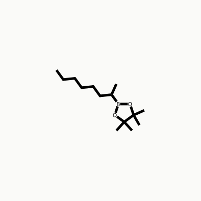 CCCCCCC(C)B1OC(C)(C)C(C)(C)O1